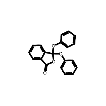 O=C1OC(Oc2ccccc2)(Oc2ccccc2)c2ccccc21